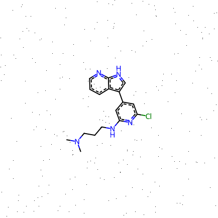 CN(C)CCCNc1cc(-c2c[nH]c3ncccc23)cc(Cl)n1